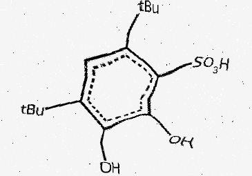 CC(C)(C)c1cc(C(C)(C)C)c(S(=O)(=O)O)c(O)c1O